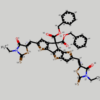 CCN1C(=O)/C(=C/c2cc3c(s2)-c2sc4cc(/C=C5\SC(=S)N(CC)C5=O)sc4c2C3(C(=O)OCc2ccccc2)C(=O)OCc2ccccc2)SC1=S